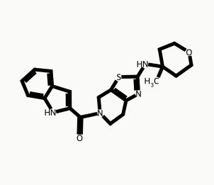 CC1(Nc2nc3c(s2)CN(C(=O)c2cc4ccccc4[nH]2)CC3)CCOCC1